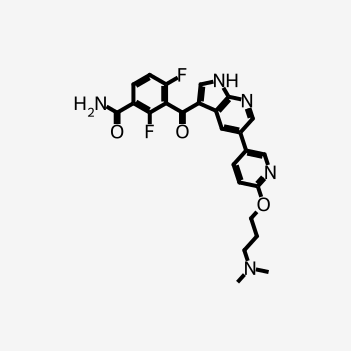 CN(C)CCCOc1ccc(-c2cnc3[nH]cc(C(=O)c4c(F)ccc(C(N)=O)c4F)c3c2)cn1